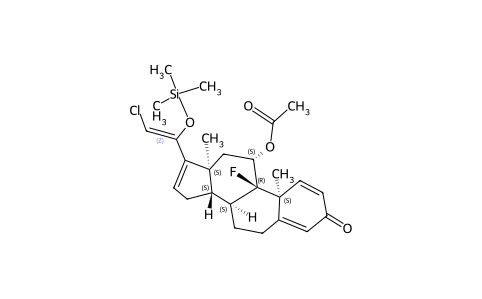 CC(=O)O[C@H]1C[C@]2(C)C(/C(=C/Cl)O[Si](C)(C)C)=CC[C@H]2[C@@H]2CCC3=CC(=O)C=C[C@]3(C)[C@@]12F